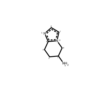 NC1CCc2nccn2C1